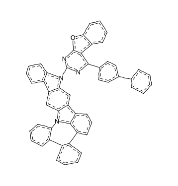 c1ccc(-c2ccc(-c3nc(-n4c5ccccc5c5cc6c(cc54)c4cccc5c4n6-c4ccccc4-c4ccccc4-5)nc4oc5ccccc5c34)cc2)cc1